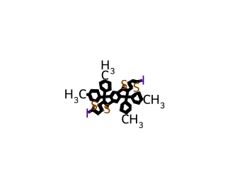 Cc1ccc(C2(c3ccc(C)cc3)c3cc4c(cc3-c3sc5cc(I)sc5c32)C(c2ccc(C)cc2)(c2ccc(C)cc2)c2c-4sc3cc(I)sc23)cc1